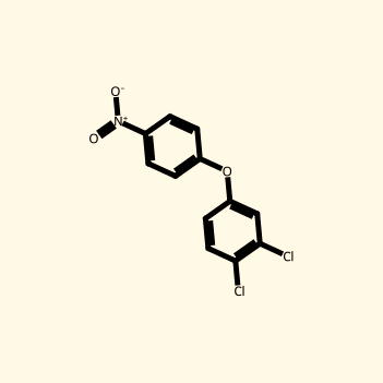 O=[N+]([O-])c1ccc(Oc2ccc(Cl)c(Cl)c2)cc1